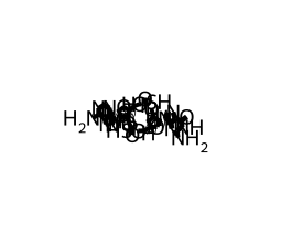 Nc1nc2c(ncn2[C@@H]2O[C@@H]3COP(=O)(S)O[C@@H]4[C@@H](COP(=O)(S)O[C@H]2C3)OC[C@@]4(F)n2nnc3c(N)ncnc32)c(=O)[nH]1